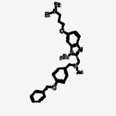 CCCCn1c(CN(Cc2ccc(OCc3ccccc3)cc2)C(C)=O)nc2ccc(OCCCN(CC)CC)cc21